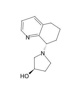 O[C@@H]1CCN([C@H]2CCCc3cccnc32)C1